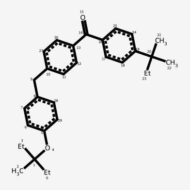 CCC(C)(CC)Oc1ccc(Cc2ccc(C(=O)c3ccc(C(C)(C)CC)cc3)cc2)cc1